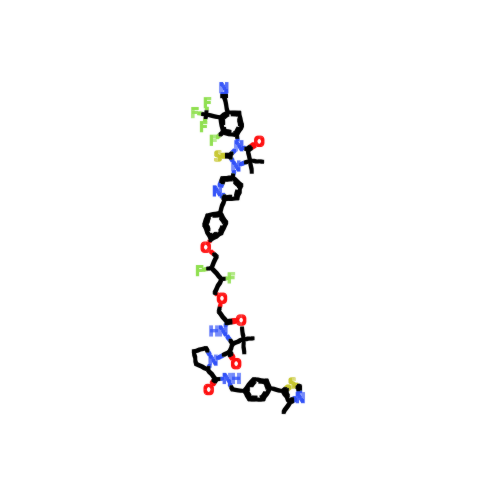 Cc1ncsc1-c1ccc(CNC(=O)C2CCCN2C(=O)C(NC(=O)COCC(F)C(F)COc2ccc(-c3ccc(N4C(=S)N(c5ccc(C#N)c(C(F)(F)F)c5F)C(=O)C4(C)C)cn3)cc2)C(C)(C)C)cc1